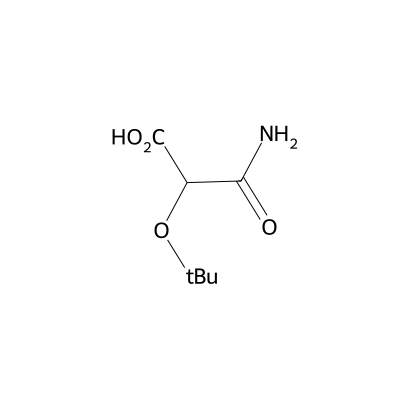 CC(C)(C)OC(C(N)=O)C(=O)O